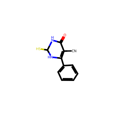 N#CC1=C(c2ccccc2)NC(S)NC1=O